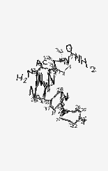 CC(=O)c1c([C@@H]2CCN(C(N)=O)[C@@H](C)C2)nc2c(-c3ccc(-c4ccc(F)cc4)nc3)cnn2c1N